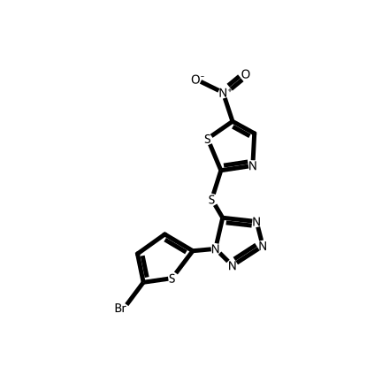 O=[N+]([O-])c1cnc(Sc2nnnn2-c2ccc(Br)s2)s1